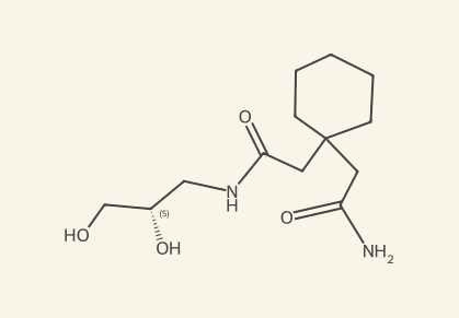 NC(=O)CC1(CC(=O)NC[C@H](O)CO)CCCCC1